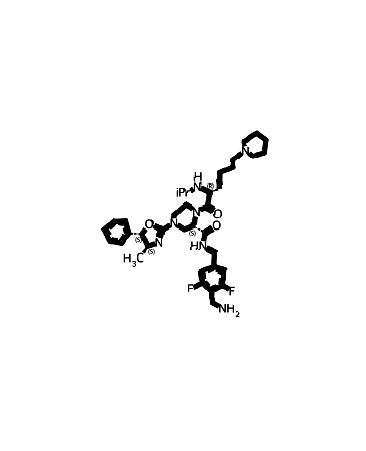 CC(C)N[C@H](CCCCN1CCCCC1)C(=O)N1CCN(C2=N[C@@H](C)[C@H](c3ccccc3)O2)C[C@H]1C(=O)NCc1cc(F)c(CN)c(F)c1